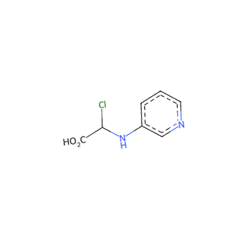 O=C(O)C(Cl)Nc1cccnc1